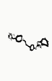 B1N=NN=C1C1CCN(CCc2ccc(Oc3nc4ccccc4s3)cc2)CC1